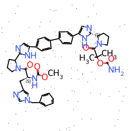 COC(=O)N[C@@H](Cc1cn(Cc2ccccc2)cn1)C(=O)N1CCCC1c1ncc(-c2ccc(-c3ccc(-c4cnc([C@@H]5CCCN5C(=O)C(C)(C)OC(N)=O)[nH]4)cc3)cc2)[nH]1